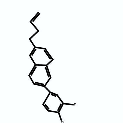 C=CCCc1ccc2cc(-c3ccc(Cl)c(F)c3)ccc2c1